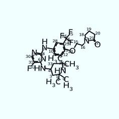 CC1(C)CC(Nc2nc(Nc3ccc(OCCN4CCCC4=O)c(C(F)(F)F)c3)ncc2F)CC(C)(C)N1